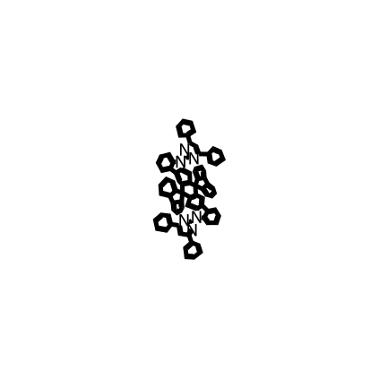 c1ccc(-c2cc(-c3ccccc3)nc(-n3c4ccccc4c4cc5c(cc43)C3(c4ccccc4-c4ccccc43)c3cc4c6ccccc6n(-c6nc(-c7ccccc7)cc(-c7ccccc7)n6)c4cc3C53c4ccccc4-c4ccccc43)n2)cc1